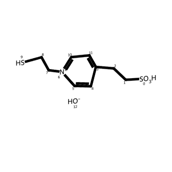 O=S(=O)(O)CCc1cc[n+](CCS)cc1.[OH-]